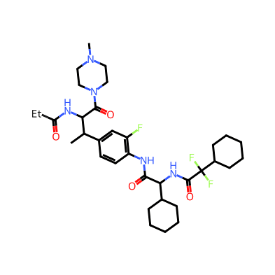 CCC(=O)NC(C(=O)N1CCN(C)CC1)C(C)c1ccc(NC(=O)C(NC(=O)C(F)(F)C2CCCCC2)C2CCCCC2)c(F)c1